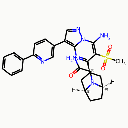 CS(=O)(=O)c1c([C@H]2C[C@H]3CC[C@@H](C2)N3CC(N)=O)nc2c(-c3ccc(-c4ccccc4)nc3)cnn2c1N